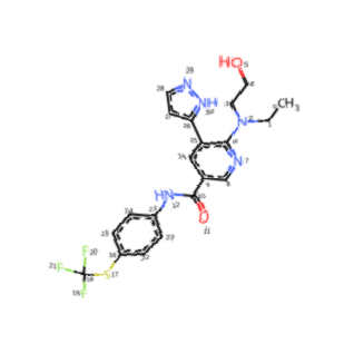 CCN(CCO)c1ncc(C(=O)Nc2ccc(SC(F)(F)F)cc2)cc1-c1ccn[nH]1